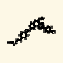 CCCN(Cc1ccc(COc2ccc(CCC(=O)O)cc2)cc1)c1nc(-c2ccc(Cl)cc2)cs1